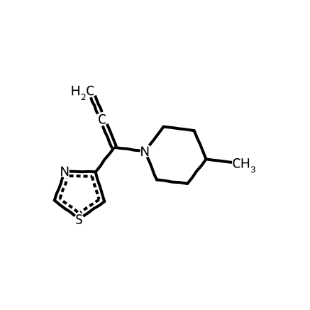 C=C=C(c1cscn1)N1CCC(C)CC1